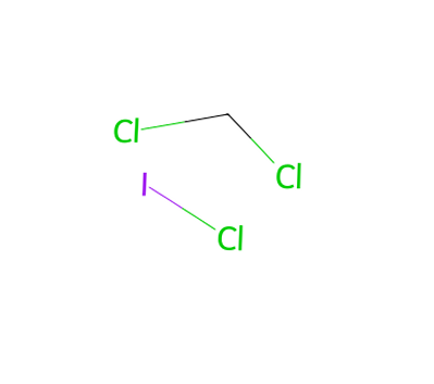 ClCCl.ClI